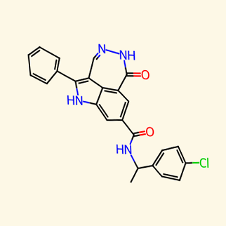 CC(NC(=O)c1cc2c3c(c(-c4ccccc4)[nH]c3c1)C=NNC2=O)c1ccc(Cl)cc1